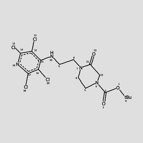 CC(C)(C)OC(=O)N1CCN(CCNc2c(Cl)c(Cl)nc(Cl)c2Cl)C(=O)C1